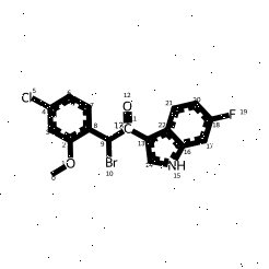 COc1cc(Cl)ccc1C(Br)[13C](=O)c1c[nH]c2cc(F)ccc12